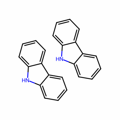 c1ccc2c(c1)[nH]c1ccccc12.c1ccc2c(c1)[nH]c1ccccc12